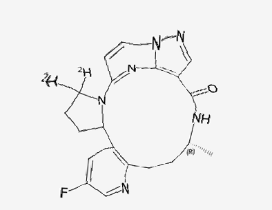 [2H]C1([2H])CCC2c3cc(F)cnc3CC[C@@H](C)NC(=O)c3cnn4ccc(nc34)N21